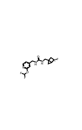 O=C(NCc1ccnc(OC(F)F)c1)NCC12CC1[C@H](F)C2